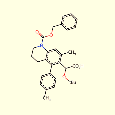 Cc1ccc(-c2c3c(cc(C)c2C(OC(C)(C)C)C(=O)O)N(C(=O)OCc2ccccc2)CCC3)cc1